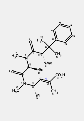 CN[C@H](C(=O)N(C)[C@H](C(=O)N(C)[C@H](/C=C(\C)C(=O)O)C(C)C)C(C)(C)C)C(C)(C)c1ccccc1